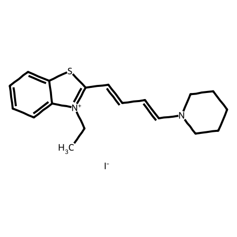 CC[n+]1c(C=CC=CN2CCCCC2)sc2ccccc21.[I-]